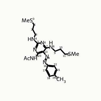 CSCCCNc1nc(NCCCSC)c(N=Nc2ccc(C)cc2)c(NC(C)=O)n1